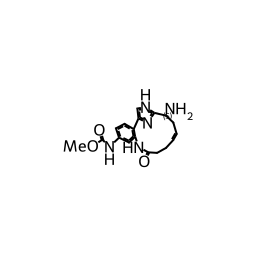 COC(=O)Nc1ccc2c(c1)NC(=O)CCC=CC[C@H](N)c1nc-2c[nH]1